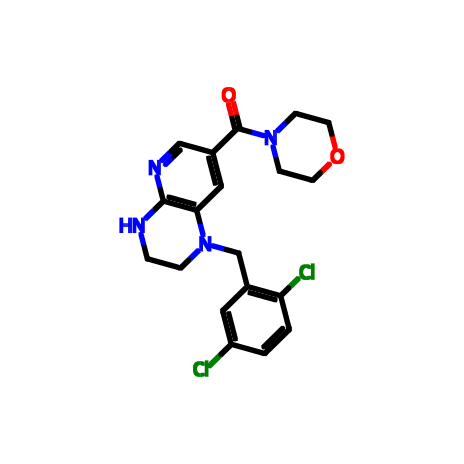 O=C(c1cnc2c(c1)N(Cc1cc(Cl)ccc1Cl)CCN2)N1CCOCC1